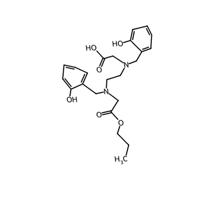 CCCOC(=O)CN(CCN(CC(=O)O)Cc1ccccc1O)Cc1ccccc1O